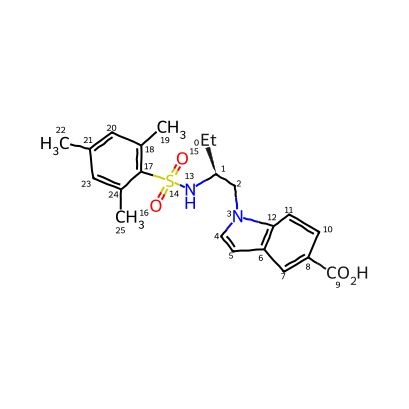 CC[C@@H](Cn1ccc2cc(C(=O)O)ccc21)NS(=O)(=O)c1c(C)cc(C)cc1C